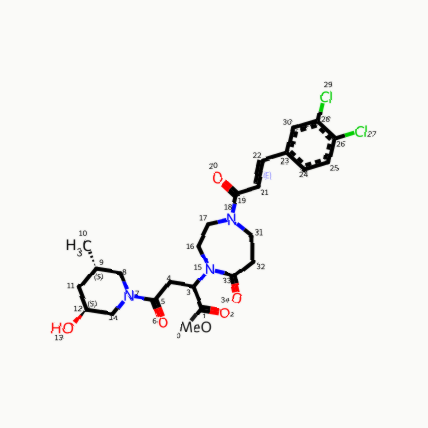 COC(=O)C(CC(=O)N1C[C@@H](C)C[C@H](O)C1)N1CCN(C(=O)/C=C/c2ccc(Cl)c(Cl)c2)CCC1=O